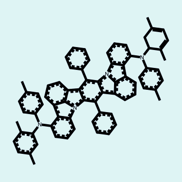 CC1=CC=C(C)C(N(c2ccc(C)cc2)c2cccc3c2c2cccc4c5c(-c6ccccc6)c6c(c(-c7ccccc7)c5n3c24)c2cccc3c4c(N(c5ccc(C)cc5)c5cc(C)ccc5C)cccc4n6c32)C1